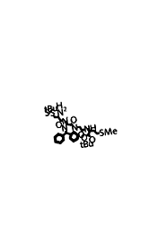 CSCC[C@H](NC(=O)CN1C(=O)C(N(C)C(=O)C(N)CSSC(C)(C)C)N=C(c2ccccc2)c2ccccc21)C(=O)OC(C)(C)C